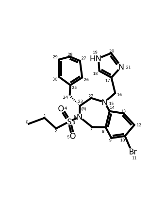 CCCS(=O)(=O)N1Cc2cc(Br)ccc2N(Cc2c[nH]cn2)C[C@H]1Cc1ccccc1